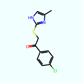 Cc1c[nH]c(SCC(=O)c2ccc(Cl)cc2)n1